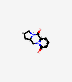 O=C1c2cccc(=O)n2CC2CCCN12